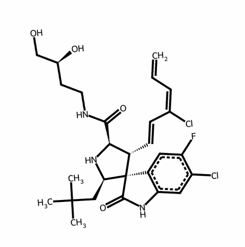 C=C/C=C(Cl)\C=C\[C@H]1[C@H](C(=O)NCC[C@H](O)CO)N[C@H](CC(C)(C)C)[C@]12C(=O)Nc1cc(Cl)c(F)cc12